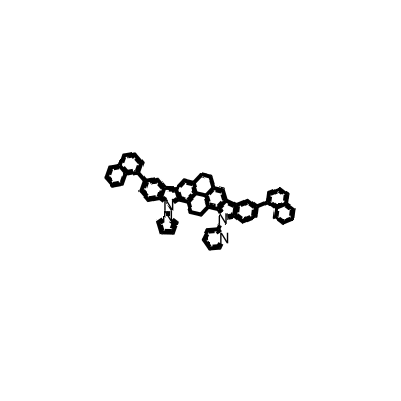 c1ccc(-n2c3ccc(-c4cccc5ccccc45)cc3c3cc4c5c(c32)CCc2c-5c(cc3c5cc(-c6cccc7ccccc67)ccc5n(-n5cccc5)c23)CC4)nc1